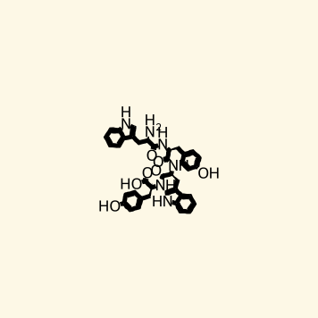 N[C@@H](Cc1c[nH]c2ccccc12)C(=O)N[C@@H](Cc1ccc(O)cc1)C(=O)N[C@@H](Cc1c[nH]c2ccccc12)C(=O)N[C@@H](Cc1ccc(O)cc1)C(=O)O